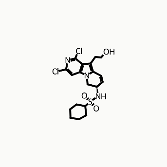 O=S(=O)(N[C@@H]1C=Cc2c(CCO)c3c(Cl)nc(Cl)cc3n2C1)C1CCCCC1